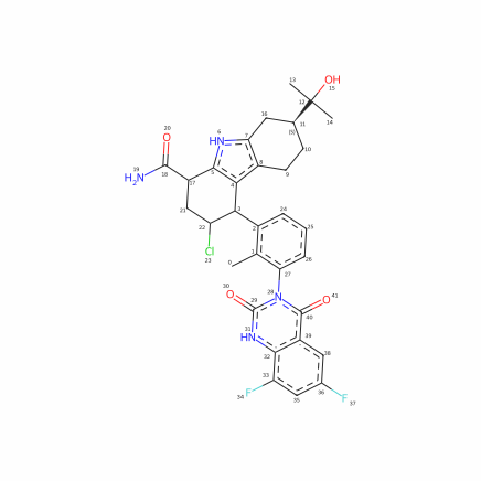 Cc1c(C2c3c([nH]c4c3CC[C@H](C(C)(C)O)C4)C(C(N)=O)CC2Cl)cccc1-n1c(=O)[nH]c2c(F)cc(F)cc2c1=O